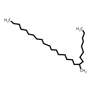 [CH2]C(CCCCCCCC)CCCCCCCCCCCCCCCCCC